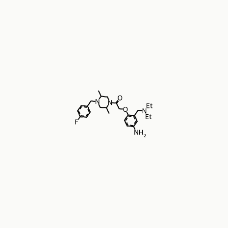 CCN(CC)Cc1cc(N)ccc1OCC(=O)N1CC(C)N(Cc2ccc(F)cc2)CC1C